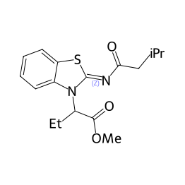 CCC(C(=O)OC)n1/c(=N/C(=O)CC(C)C)sc2ccccc21